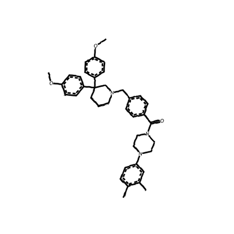 COc1ccc(C2(c3ccc(OC)cc3)CCCN(Cc3ccc(C(=O)N4CCN(c5ccc(C)c(C)c5)CC4)cc3)C2)cc1